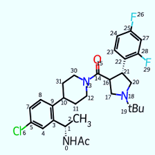 CC(=O)N[C@@H](C)c1cc(Cl)ccc1C1CCN(C(=O)C2CN(C(C)(C)C)C[C@H]2c2ccc(F)cc2F)CC1